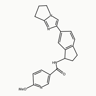 COc1ccc(C(=O)NC2CCc3ccc(-c4cn5c(n4)CCC5)cc32)cn1